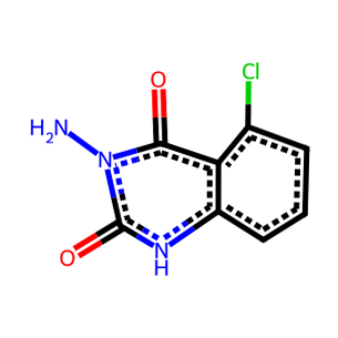 Nn1c(=O)[nH]c2cccc(Cl)c2c1=O